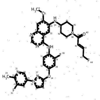 COc1cc2ncnc(Nc3ccc(Oc4ccn(-c5cnc(C)c(F)c5)n4)cc3F)c2cc1NC1CCN(C(=O)/C=C/CF)CC1